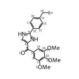 COc1cc(C(=O)C2=CNC(c3ccc(CI)cc3)N2)cc(OC)c1OC